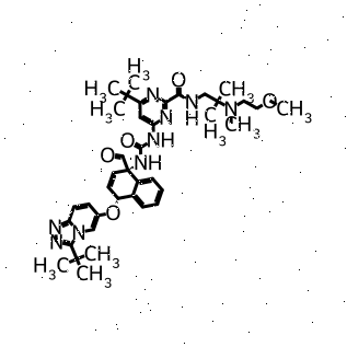 COCCN(C)C(C)(C)CNC(=O)c1nc(NC(=O)N[C@@]2(C=O)C=C[C@@H](Oc3ccc4nnc(C(C)(C)C)n4c3)c3ccccc32)cc(C(C)(C)C)n1